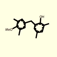 COc1c(C)cc(Cc2cc(C)cc(C)c2O)cc1C